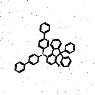 Brc1ccc(N(c2ccc(-c3ccccc3)cc2)C2C=CC(c3ccccc3)=CC2)c2c1C(c1ccccc1)(c1ccccc1)c1ccccc1-2